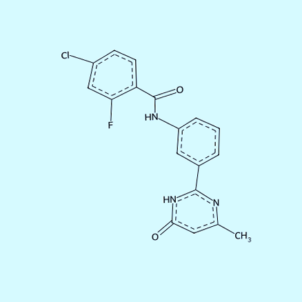 Cc1cc(=O)[nH]c(-c2cccc(NC(=O)c3ccc(Cl)cc3F)c2)n1